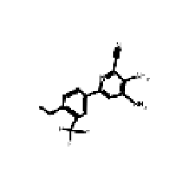 CCc1ccc(-c2cc(N)c(N)c(C#N)n2)cc1C(F)(F)F